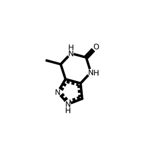 CC1NC(=O)Nc2c[nH]nc21